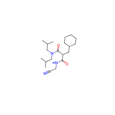 CC(C)CN(CC(C)C)C(=O)C(CC1CCCCC1)C(=O)NCC#N